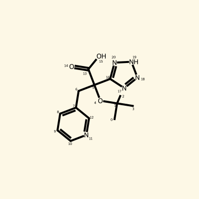 CC(C)(C)OC(Cc1cccnc1)(C(=O)O)c1nn[nH]n1